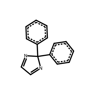 C1=NC(c2ccccc2)(c2ccccc2)N=C1